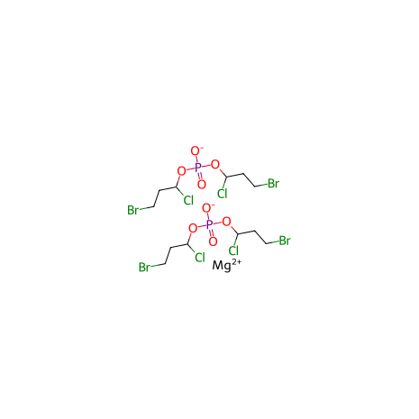 O=P([O-])(OC(Cl)CCBr)OC(Cl)CCBr.O=P([O-])(OC(Cl)CCBr)OC(Cl)CCBr.[Mg+2]